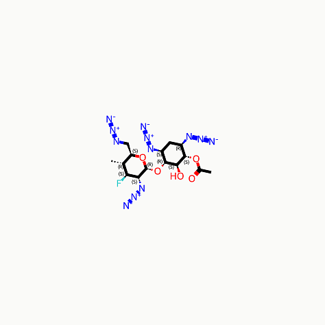 CC(=O)O[C@@H]1[C@@H](O)[C@H](O[C@H]2O[C@H](CN=[N+]=[N-])[C@@H](C)[C@H](F)[C@H]2N=[N+]=[N-])[C@@H](N=[N+]=[N-])C[C@H]1N=[N+]=[N-]